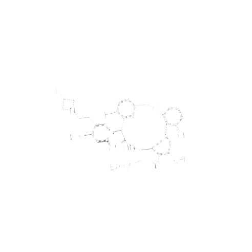 CCOC(=O)C[C@@H]1NC(=O)C(n2cc(CCN3CC(F)C3)c(C(F)(F)F)cc2=O)c2cc(ccc2F)COc2cccc(C)c2-c2cc(C)c(F)c1c2